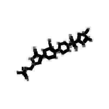 CC(=O)NCn1cc(-c2ccc(N3CCN(S(=O)(=O)c4cn(C)c(C)n4)CC3)c(F)c2)c(=O)o1